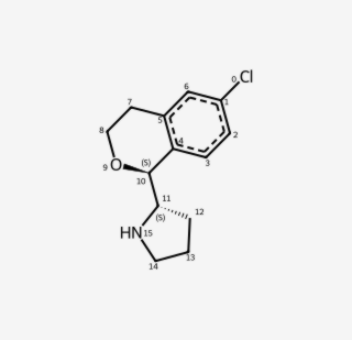 Clc1ccc2c(c1)CCO[C@@H]2[C@@H]1CCCN1